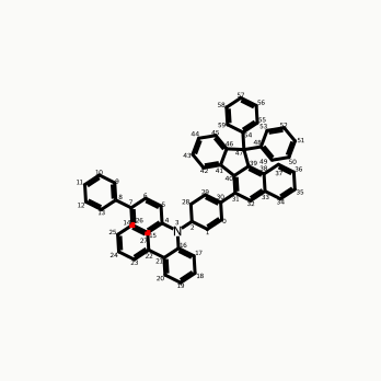 C1=CC(N(c2ccc(-c3ccccc3)cc2)c2ccccc2-c2ccccc2)CC=C1c1cc2ccccc2c2c1-c1ccccc1C2(c1ccccc1)c1ccccc1